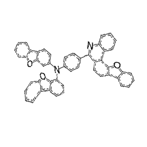 c1ccc2c(c1)nc(-c1ccc(N(c3ccc4c(c3)oc3ccccc34)c3cccc4c3oc3ccccc34)cc1)c1ccc3c4ccccc4oc3c12